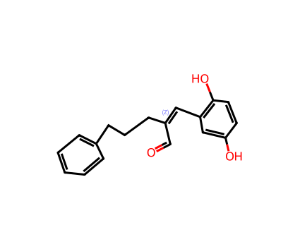 O=C/C(=C\c1cc(O)ccc1O)CCCc1ccccc1